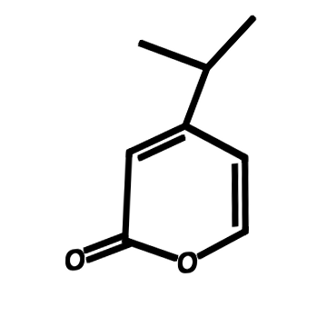 CC(C)c1ccoc(=O)c1